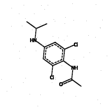 CC(=O)Nc1c(Cl)cc(NC(C)C)cc1Cl